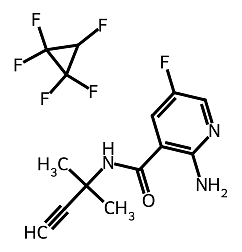 C#CC(C)(C)NC(=O)c1cc(F)cnc1N.FC1C(F)(F)C1(F)F